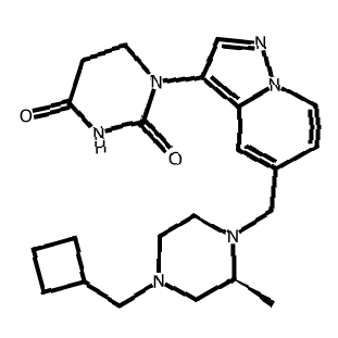 C[C@H]1CN(CC2CCC2)CCN1Cc1ccn2ncc(N3CCC(=O)NC3=O)c2c1